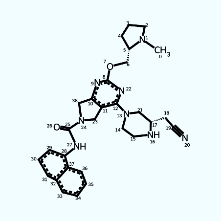 CN1CCC[C@H]1COc1nc2c(c(N3CCN[C@@H](CC#N)C3)n1)CN(C(=O)Nc1cccc3ccccc13)C2